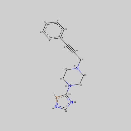 C(#Cc1ccccc1)CN1CCN(c2ncns2)CC1